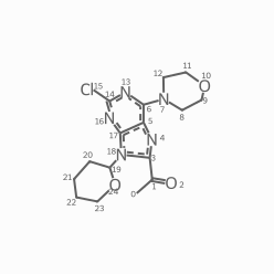 CC(=O)c1nc2c(N3CCOCC3)nc(Cl)nc2n1C1CCCCO1